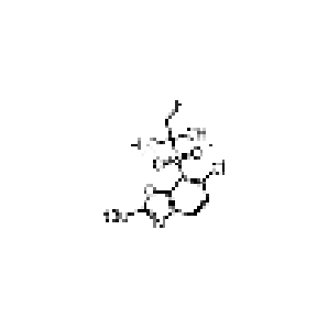 CC(C)(C)c1nc2ccc(Cl)c(S(=O)(=O)C(C)(C)CF)c2o1